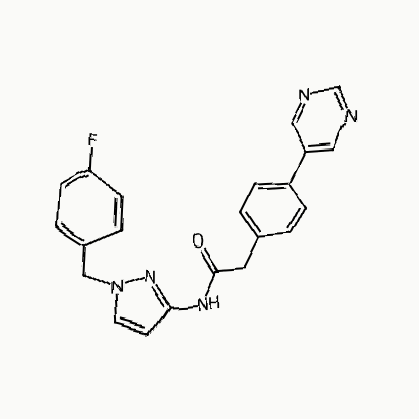 O=C(Cc1ccc(-c2cncnc2)cc1)Nc1ccn(Cc2ccc(F)cc2)n1